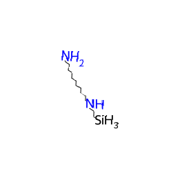 NCCCCCCCCCCCNCCC[SiH3]